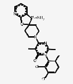 Cc1c(N2CCC3(CC2)Oc2ncccc2[C@@H]3N)nc(C)n(C2=C(Cl)C(Cl)=CCC2C)c1=O